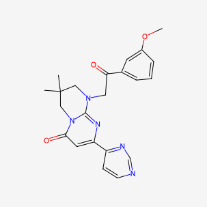 COc1cccc(C(=O)CN2CC(C)(C)Cn3c2nc(-c2ccncn2)cc3=O)c1